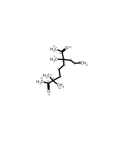 [CH2]CCC(C)(CCCC(C)(C)C(C)=O)C(C)=O